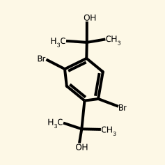 CC(C)(O)c1cc(Br)c(C(C)(C)O)cc1Br